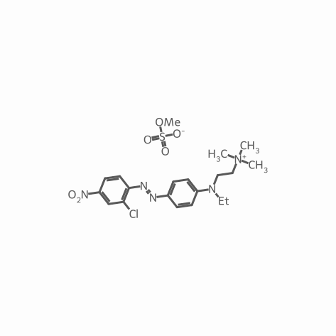 CCN(CC[N+](C)(C)C)c1ccc(N=Nc2ccc([N+](=O)[O-])cc2Cl)cc1.COS(=O)(=O)[O-]